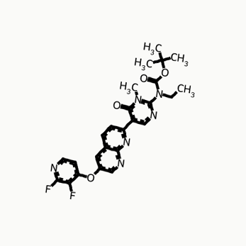 CCN(C(=O)OC(C)(C)C)c1ncc(-c2ccc3cc(Oc4ccnc(F)c4F)cnc3n2)c(=O)n1C